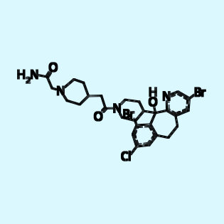 NC(=O)CN1CCC(CC(=O)N2CCC(C3(O)c4ncc(Br)cc4CCc4cc(Cl)cc(Br)c43)CC2)CC1